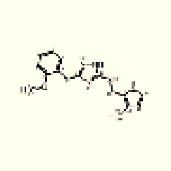 COc1ccccc1Cc1n[nH]c(SCc2sccc2C)n1